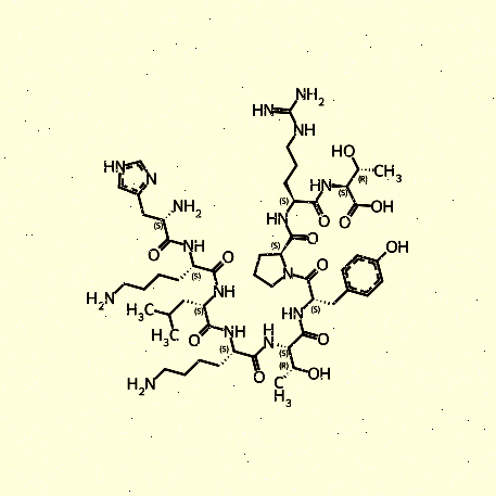 CC(C)C[C@H](NC(=O)[C@H](CCCCN)NC(=O)[C@@H](N)Cc1c[nH]cn1)C(=O)N[C@@H](CCCCN)C(=O)N[C@H](C(=O)N[C@@H](Cc1ccc(O)cc1)C(=O)N1CCC[C@H]1C(=O)N[C@@H](CCCNC(=N)N)C(=O)N[C@H](C(=O)O)[C@@H](C)O)[C@@H](C)O